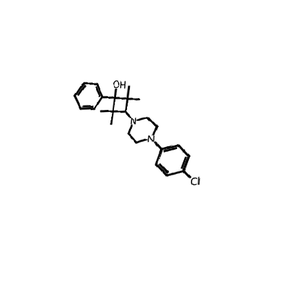 CC1(C)C(N2CCN(c3ccc(Cl)cc3)CC2)C(C)(C)C1(O)c1ccccc1